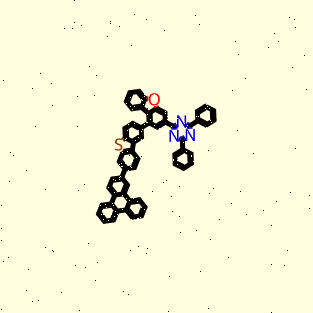 c1ccc(-c2nc(-c3ccccc3)nc(-c3cc(-c4ccc5sc6cc(-c7ccc8c9ccccc9c9ccccc9c8c7)ccc6c5c4)c4c(c3)oc3ccccc34)n2)cc1